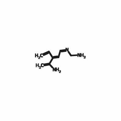 C=C/C(=C\C=N/CN)C(=C)N